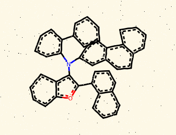 c1ccc(-c2ccccc2N(c2ccc3c(ccc4ccccc43)c2)c2c(-c3cccc4ccccc34)oc3ccccc23)cc1